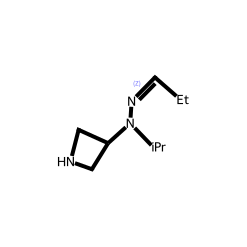 CC/C=N\N(C(C)C)C1CNC1